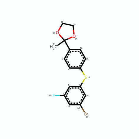 CC1(c2ccc(Sc3cc(F)cc(Br)c3)cc2)OCCO1